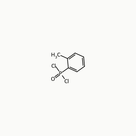 Cc1ccccc1P(=O)(Cl)Cl